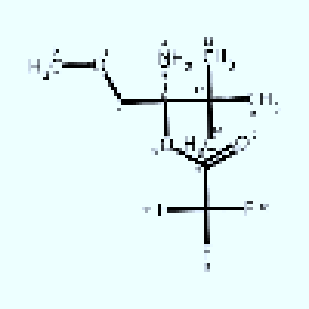 COC[C@](N)(OC(=O)C(F)(F)F)C(C)(C)C